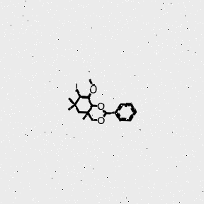 COC1C(I)C(C)(C)CC2(C)COC(c3ccccc3)OC12